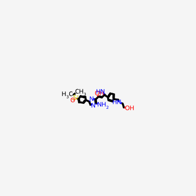 CC(C)[S+]([O-])c1ccc(-c2cnc(N)c(/C(O)=C/C(=N)c3ccc(CNCCO)cc3)n2)cc1